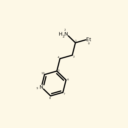 CCC(N)CCc1cccnc1